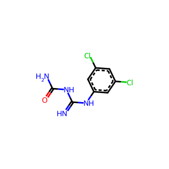 N=C(NC(N)=O)Nc1cc(Cl)cc(Cl)c1